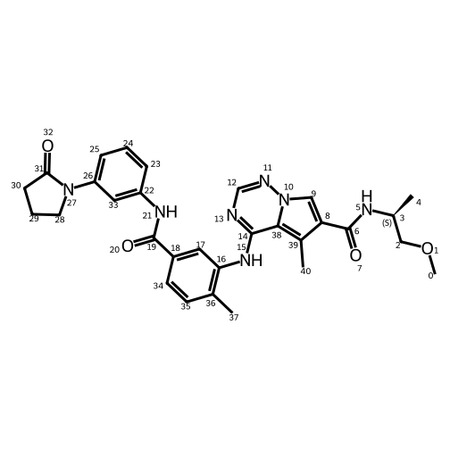 COC[C@H](C)NC(=O)c1cn2ncnc(Nc3cc(C(=O)Nc4cccc(N5CCCC5=O)c4)ccc3C)c2c1C